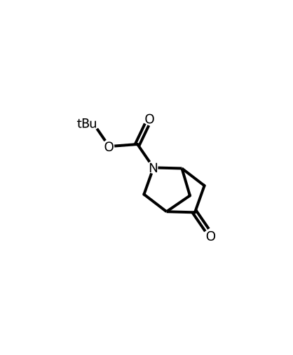 CC(C)(C)OC(=O)N1CC2CC1CC2=O